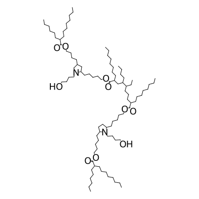 CCCCCCCCC(CCCCCC)C(=O)OCCCCCC1CCC(CCCCCOC(=O)C(CCCCCCCC)CCCC(CC)C(CCCC)CC(CCCCCCCC)C(=O)OCCCCCC2CC(CCCCOC(=O)C(CCCCCC)CCCCCCCC)CN2CCCCO)N1CCCCO